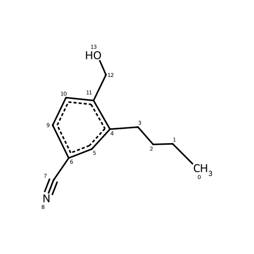 CCCCc1cc(C#N)ccc1CO